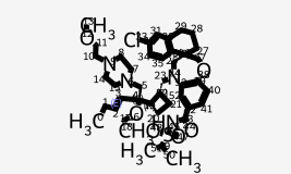 CC/C=C/[C@@](CN1CCN(CCOC)CC1)(OCC)[C@@H]1CC[C@H]1CN1C[C@@]2(CCCc3cc(Cl)ccc32)COc2ccc(C(=O)NS(=O)(=O)C(C)C)cc21